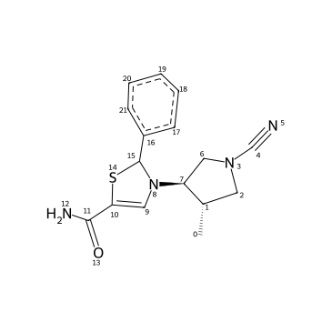 C[C@H]1CN(C#N)C[C@@H]1N1C=C(C(N)=O)SC1c1ccccc1